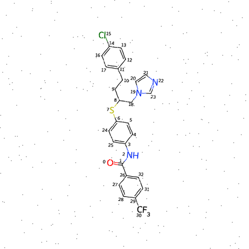 O=C(Nc1ccc(SC(CCc2ccc(Cl)cc2)Cn2ccnc2)cc1)c1ccc(C(F)(F)F)cc1